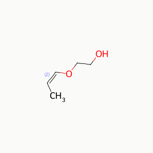 C/C=C\OCCO